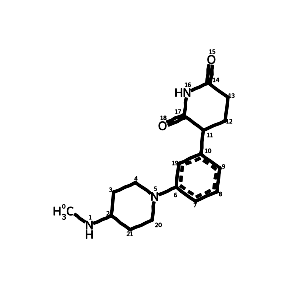 CNC1CCN(c2cccc(C3CCC(=O)NC3=O)c2)CC1